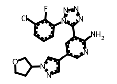 Nc1ncc(-c2cnn(C3CCOC3)c2)cc1-c1nnnn1-c1cccc(Cl)c1F